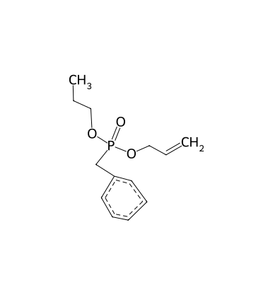 C=CCOP(=O)(Cc1ccccc1)OCCC